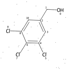 OCc1cc(Cl)c(Cl)c(Cl)c1